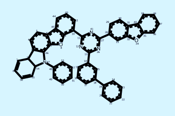 C1=CC2c3ccc4c(oc5c(-c6nc(-c7cccc(-c8ccccc8)c7)nc(-c7ccc8c(c7)oc7ccccc78)n6)cccc54)c3N(c3ccccc3)C2C=C1